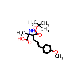 COc1ccc(/C=C/CC(C(=O)OC(C)(C)C)C(C)(N)C(=O)O)cc1